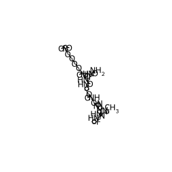 CC1C=CC=C(c2nc(CNc3ccccc3F)[nH]c2-c2ccc3ncc(OCCNC(=O)OCc4ccc(NC(=O)C(CCCNC(N)=O)NC(=O)CNC(=O)CCOCCOCCOCCOCCN5C(=O)C=CC5=O)cc4)nc3c2)N1